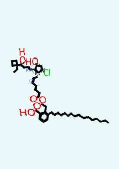 CCCCCCCCCCCCCCCCc1cccc(C(=O)O)c1CCOC(=O)CCC/C=C\C[C@@H]1[C@@H](/C=C/C[C@H](O)C2(CC)CCC2)[C@H](O)C[C@H]1Cl